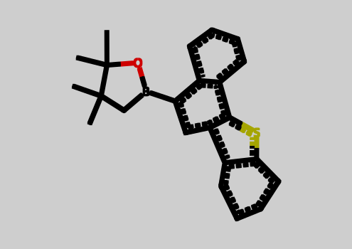 CC1(C)CB(c2cc3c4ccccc4sc3c3ccccc23)OC1(C)C